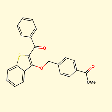 COC(=O)c1ccc(COc2c(C(=O)c3ccccc3)sc3ccccc23)cc1